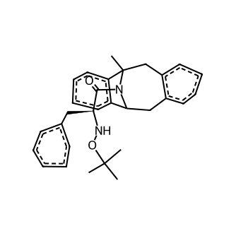 CC(C)(C)ON[C@@H](Cc1ccccc1)C(=O)N1C2Cc3ccccc3CC1(C)c1ccccc12